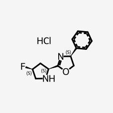 Cl.F[C@@H]1CN[C@H](C2=N[C@@H](c3ccccc3)CO2)C1